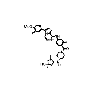 COc1ccc(-c2cnc3n2C=CNC3Nc2ccc(C(=O)N3CCN(C(=O)[C@@H]4C[C@](C)(O)CN4)CC3)c(C)c2)cc1F